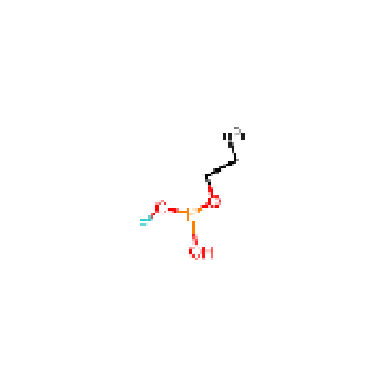 CCCCCOP(O)OF